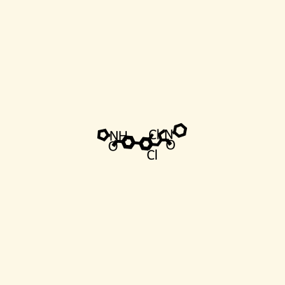 O=C(NC1CCCC1)c1ccc(-c2cc(Cl)c(CC3CCN(C4CCCCC4)C3=O)c(Cl)c2)cc1